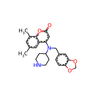 Cc1cc(C)c2oc(=O)cc(N(Cc3ccc4c(c3)OCO4)C3CCNCC3)c2c1